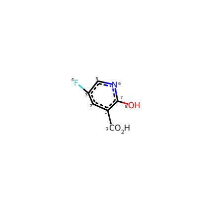 O=C(O)c1cc(F)cnc1O